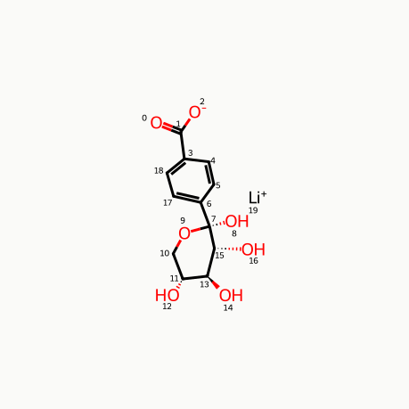 O=C([O-])c1ccc([C@]2(O)OC[C@@H](O)[C@H](O)[C@H]2O)cc1.[Li+]